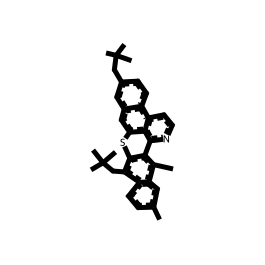 Cc1ccc2c(CC(C)(C)C)c3c(c(C)c2c1)-c1nccc2c1c(cc1cc(CC(C)(C)C)ccc12)S3